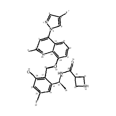 Cc1cc(-n2cc(F)cn2)c2cccc(OCc3c(Cl)cc(F)cc3[C@H](C)NC(=O)C3CNC3)c2n1